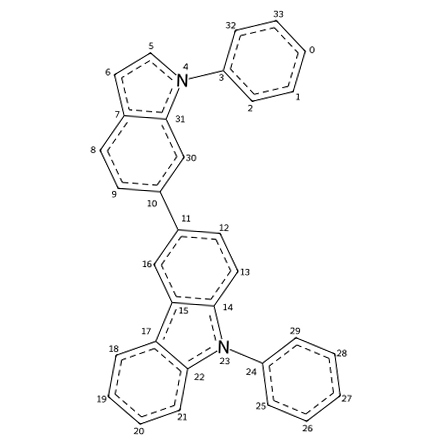 c1ccc(-n2ccc3ccc(-c4ccc5c(c4)c4ccccc4n5-c4ccccc4)cc32)cc1